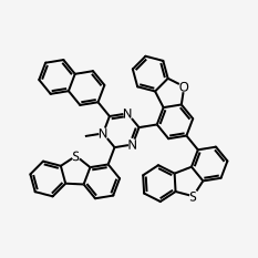 CN1C(c2ccc3ccccc3c2)=NC(c2cc(-c3cccc4sc5ccccc5c34)cc3oc4ccccc4c23)=NC1c1cccc2c1sc1ccccc12